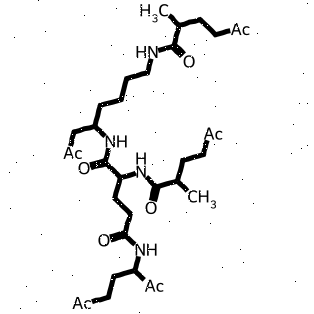 CC(=O)CCC(C)C(=O)NCCCCC(CC(C)=O)NC(=O)C(CCC(=O)NC(CCC(C)=O)C(C)=O)NC(=O)C(C)CCC(C)=O